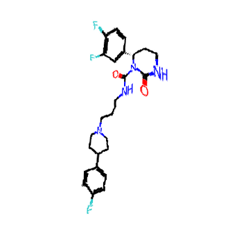 O=C(NCCCN1CCC(c2ccc(F)cc2)CC1)N1C(=O)NCC[C@H]1c1ccc(F)c(F)c1